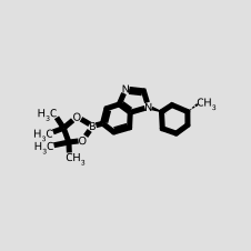 C[C@@H]1CCC[C@@H](n2cnc3cc(B4OC(C)(C)C(C)(C)O4)ccc32)C1